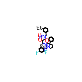 CCc1cccc(CNC[C@@H](O)[C@H](Cc2cc(F)cc(F)c2)NC(=O)C2(c3ccccc3)CCCN2C(C)=O)c1